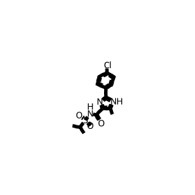 Cc1[nH]c(-c2ccc(Cl)cc2)nc1C(=O)NS(=O)(=O)C(C)C